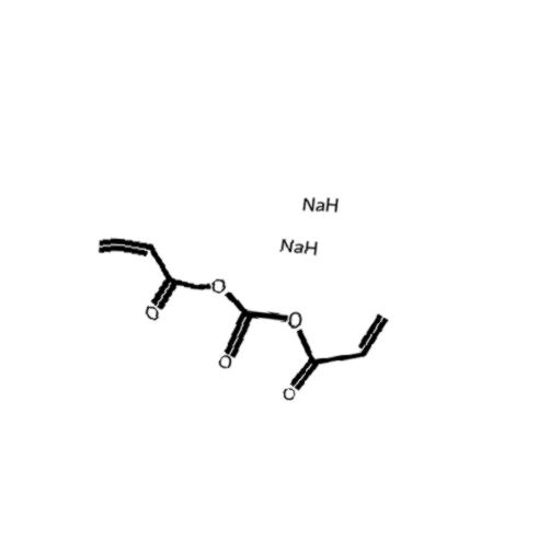 C=CC(=O)OC(=O)OC(=O)C=C.[NaH].[NaH]